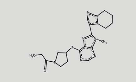 CCC(=O)N1CCC(Oc2ncnc3c2nc(-c2cnn4c2CCCC4)n3C)C1